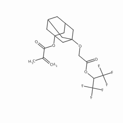 C=C(C)C(=O)OC12CC3CC(CC(OCC(=O)OC(C(F)(F)F)C(F)(F)F)(C3)C1)C2